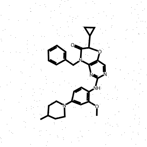 COc1cc(N2CCC(C)CC2)ccc1Nc1ncc2c(n1)N(Cc1ccccc1)C(=O)C(C1CC1)O2